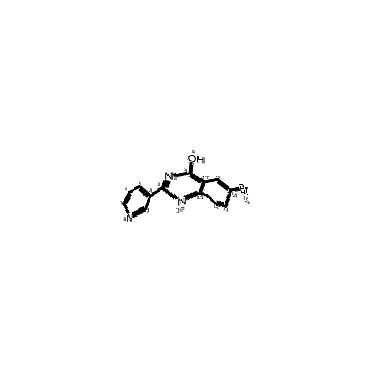 Oc1nc(-c2cccnc2)nc2ccc(Br)cc12